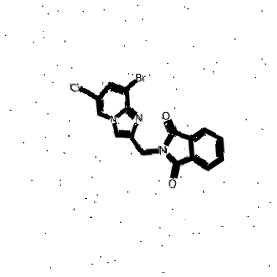 O=C1c2ccccc2C(=O)N1Cc1cn2cc(Cl)cc(Br)c2n1